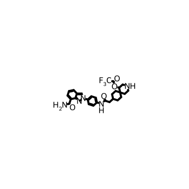 NC(=O)c1cccc2cn(-c3ccc(NC(=O)CC4CCC5(CCNCC5OC(=O)C(F)(F)F)CC4)cc3)nc12